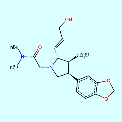 CCCCN(CCCC)C(=O)CN1C[C@H](c2ccc3c(c2)OCO3)[C@H](C(=O)OCC)[C@H]1C=CCO